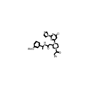 COc1cccc(C(C)NC(=O)CC2CN(C(=O)CC(C)C)CCN2c2cc(Cl)nc(-n3ccnc3)n2)c1